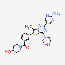 Cc1c(-c2cccc(C(=O)N3CCC(O)CC3)c2)sc2c(N3CCOCC3)nc(-c3cnc(N)nc3)nc12